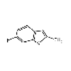 [CH2]c1cc2ccc(I)cc2s1